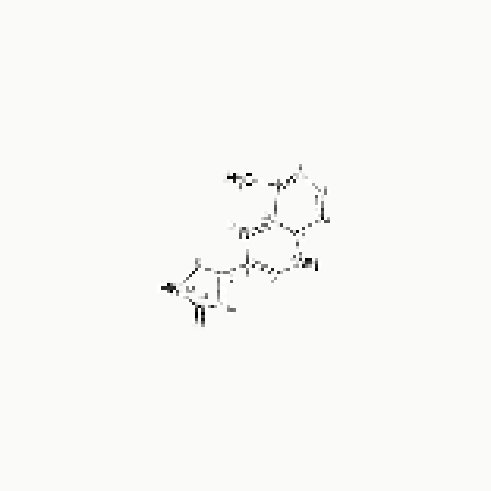 CC1=CC=CC2NC=C(C3=CNNC3)N=C12